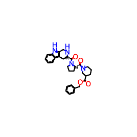 O=C(OCc1ccccc1)C1CCCN(C(=O)[C@@H]2CCCN2C(=O)[C@H]2Cc3c([nH]c4ccccc34)CN2)C1